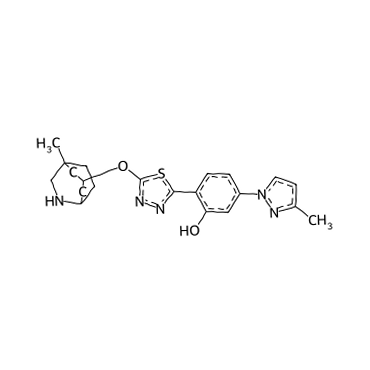 Cc1ccn(-c2ccc(-c3nnc(OC4CC5CCC(C)(CN5)C4)s3)c(O)c2)n1